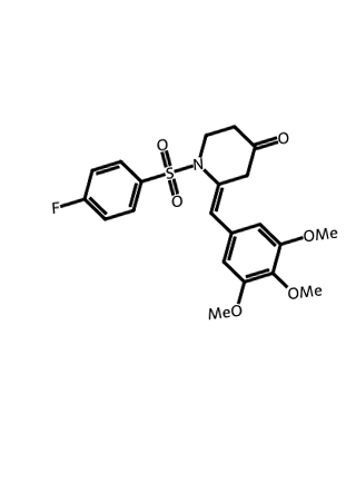 COc1cc(C=C2CC(=O)CCN2S(=O)(=O)c2ccc(F)cc2)cc(OC)c1OC